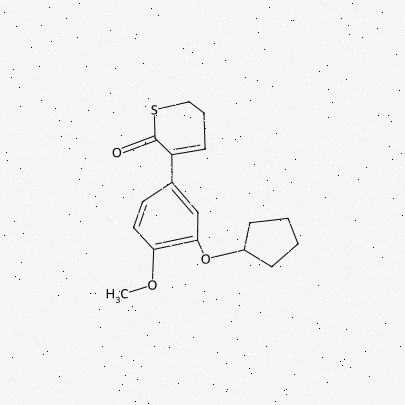 COc1ccc(C2=CCCSC2=O)cc1OC1CCCC1